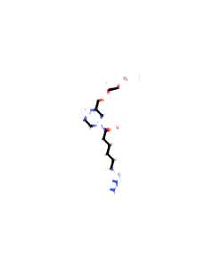 COCC(=O)OCC1CN(C(=O)CCCCCN=[N+]=[N-])CCN1